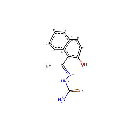 NC(=S)NN=Cc1c(O)ccc2ccccc12.[Ir+3]